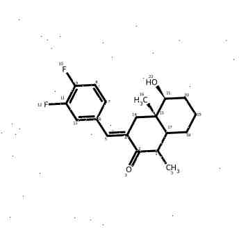 CC1C(=O)/C(=C/c2ccc(F)c(F)c2)C[C@@]2(C)C1CCC[C@@H]2O